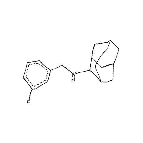 Fc1cccc(CNC2C3CC4CC(C3)CC2C4)c1